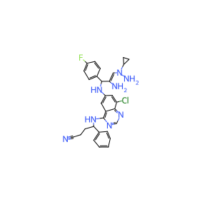 N#CCCC(Nc1ncnc2c(Cl)cc(NC(/C(N)=C/N(N)C3CC3)c3ccc(F)cc3)cc12)c1ccccc1